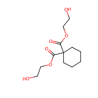 O=C(OCCO)C1(C(=O)OCCO)CCCCC1